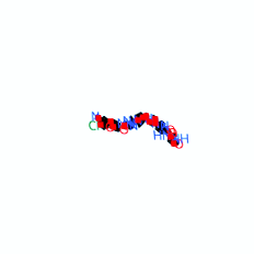 CC1(C)[C@H](NC(=O)c2cnc(N3CCC(CN4CCN(c5ccc(C(=O)NC6CCC(=O)NC6=O)nc5)CC4)CC3)cn2)C(C)(C)[C@H]1Oc1ccc(C#N)c(Cl)c1